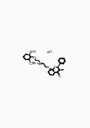 COc1cccc(OC)c1OCCNCCOc1cccc2c(=O)c(C)c(-c3ccccc3)oc12.Cl